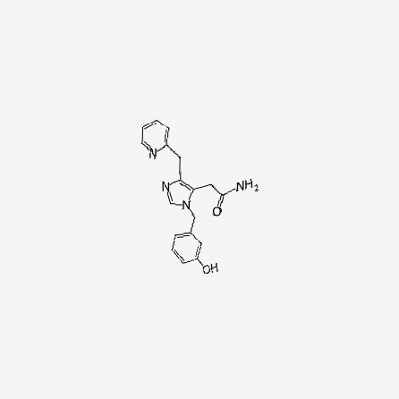 NC(=O)Cc1c(Cc2ccccn2)ncn1Cc1cccc(O)c1